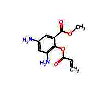 C=CC(=O)Oc1c(N)cc(N)cc1C(=O)OC